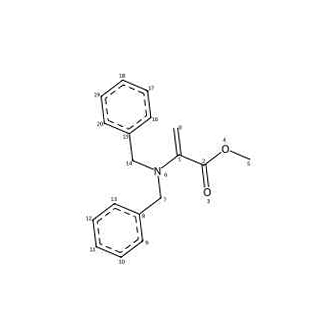 C=C(C(=O)OC)N(Cc1ccccc1)Cc1ccccc1